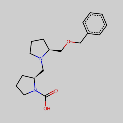 O=C(O)N1CCC[C@H]1CN1CCC[C@H]1COCc1ccccc1